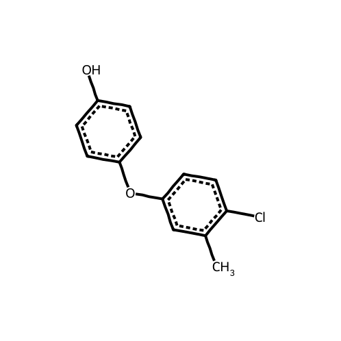 Cc1cc(Oc2ccc(O)cc2)ccc1Cl